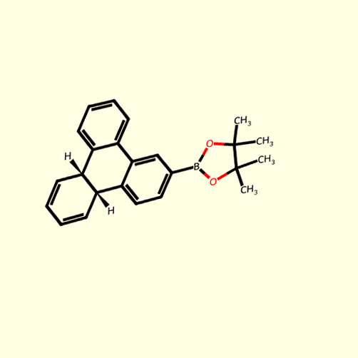 CC1(C)OB(c2ccc3c(c2)-c2ccccc2[C@H]2C=CC=C[C@@H]32)OC1(C)C